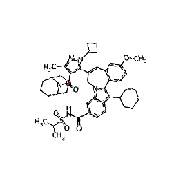 COc1ccc2c(c1)C=C(c1c(C(=O)N3C4CCCC3COC4)c(C)nn1C1CCC1)Cn1c-2c(C2CCCCC2)c2ccc(C(=O)NS(=O)(=O)C(C)C)cc21